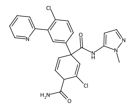 Cn1nccc1NC(=O)C1(c2ccc(Cl)c(-c3ccccn3)c2)C=CC(C(N)=O)C(Cl)=C1